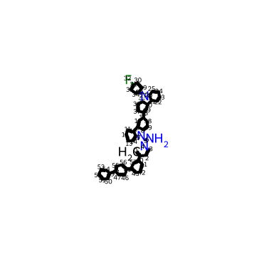 C=C(/C=C\N=C(/N)n1c2c(c3ccccc31)=CC(C1=CC3C4C=CC=CC4N(c4ccc(F)cc4)C3C=C1)CC=2)c1cccc(-c2ccc(-c3ccccc3)cc2)c1